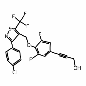 OCC#Cc1cc(F)c(OCc2c(-c3ccc(Cl)cc3)nsc2C(F)(F)F)c(F)c1